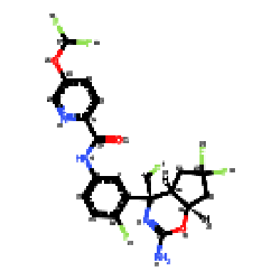 NC1=N[C@](CF)(c2cc(NC(=O)c3ccc(OC(F)F)cn3)ccc2F)[C@H]2CC(F)(F)C[C@H]2O1